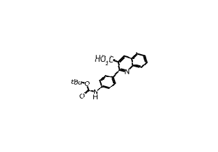 CC(C)(C)OC(=O)Nc1ccc(-c2nc3ccccc3cc2C(=O)O)cc1